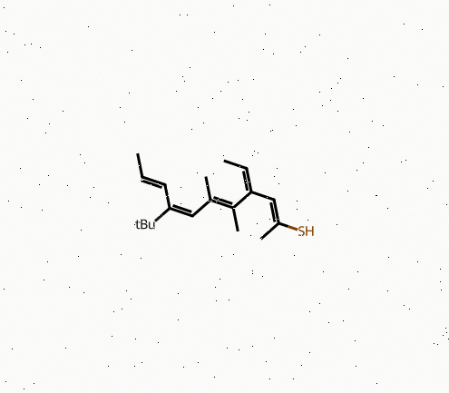 CC=C(/C=C(\C)S)/C(C)=C(C)/C=C(\C=C\C)C(C)(C)C